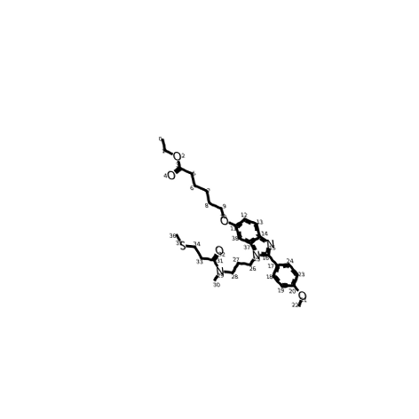 CCOC(=O)CCCCCOc1ccc2nc(-c3ccc(OC)cc3)n(CCCN(C)C(=O)CCSC)c2c1